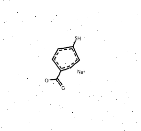 O=C([O-])c1ccc(S)cc1.[Na+]